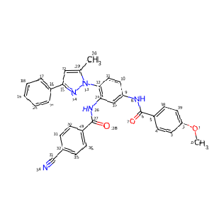 COc1ccc(C(=O)Nc2ccc(-n3nc(-c4ccccc4)cc3C)c(NC(=O)c3ccc(C#N)cc3)c2)cc1